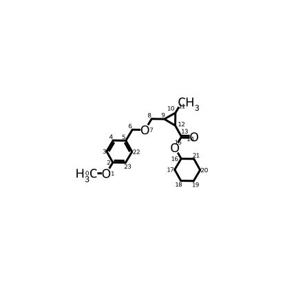 COc1ccc(COCC2C(C)C2C(=O)OC2CCCCC2)cc1